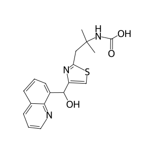 CC(C)(Cc1nc(C(O)c2cccc3cccnc23)cs1)NC(=O)O